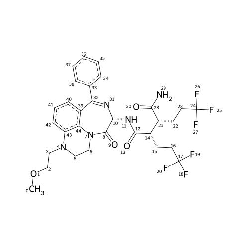 COCCN1CCN2C(=O)[C@@H](NC(=O)[C@@H](CCC(F)(F)F)[C@@H](CCC(F)(F)F)C(N)=O)N=C(c3ccccc3)c3cccc1c32